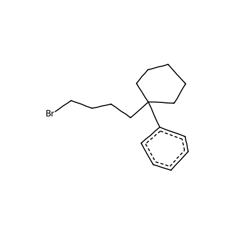 BrCCCCC1(c2ccccc2)CCCCC1